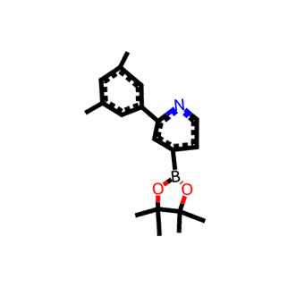 Cc1cc(C)cc(-c2cc(B3OC(C)(C)C(C)(C)O3)ccn2)c1